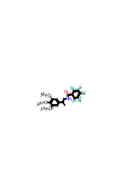 COc1cc(C(C)CNC(=O)c2c(F)c(F)c(F)c(F)c2F)cc(OC)c1OC